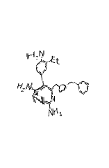 CCc1cc(-c2c(N)nc(N)nc2COCc2ccccc2)ccc1N